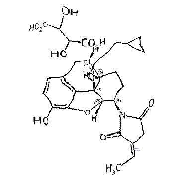 C/C=C1/CC(=O)N([C@@H]2CC[C@@]3(O)[C@H]4Cc5ccc(O)c6c5[C@@]3(CCN4CC3CC3)[C@H]2O6)C1=O.O=C(O)C(O)C(O)C(=O)O